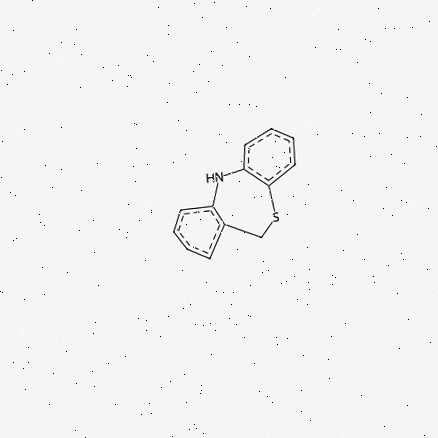 c1ccc2c(c1)CSc1ccccc1N2